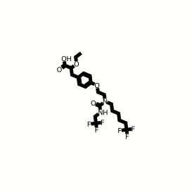 CCOC(Cc1ccc(OCCN(CCCCCC(F)(F)F)C(=O)NCC(F)(F)F)cc1)C(=O)O